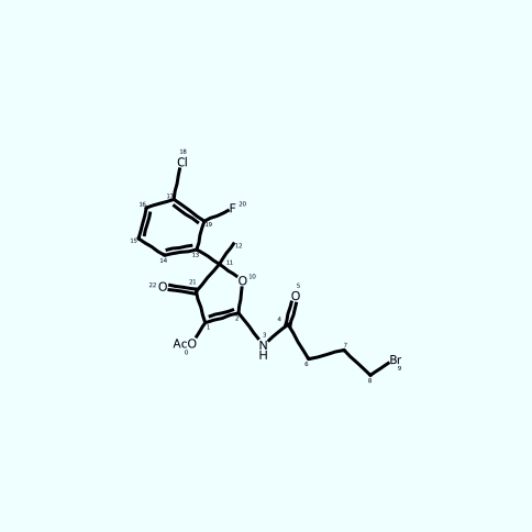 CC(=O)OC1=C(NC(=O)CCCBr)OC(C)(c2cccc(Cl)c2F)C1=O